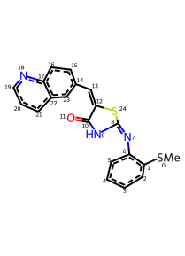 CSc1ccccc1N=C1NC(=O)C(=Cc2ccc3ncccc3c2)S1